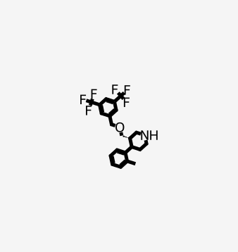 Cc1ccccc1C1CCNC[C@H]1COCc1cc(C(F)(F)F)cc(C(F)(F)F)c1